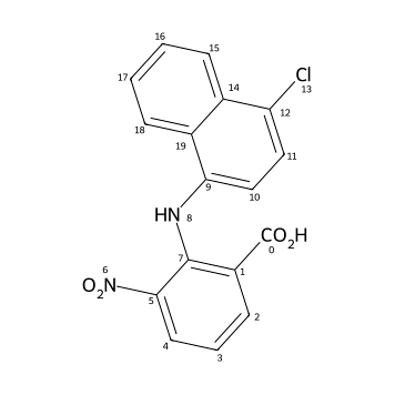 O=C(O)c1cccc([N+](=O)[O-])c1Nc1ccc(Cl)c2ccccc12